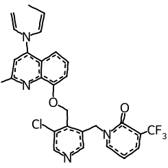 C=CN(/C=C\C)c1cc(C)nc2c(OCc3c(Cl)cncc3Cn3cccc(C(F)(F)F)c3=O)cccc12